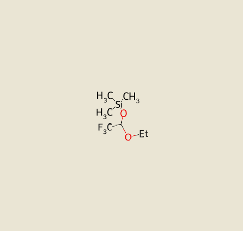 CCOC(O[Si](C)(C)C)C(F)(F)F